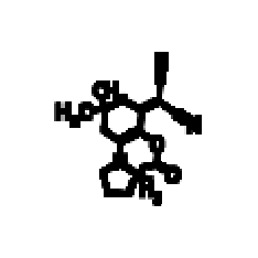 CC(=O)OC1=C(N2CCCC2)CC(C)(C)CC1=C(C#N)C#N